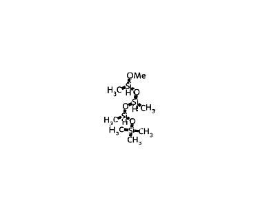 CO[SiH](C)O[SiH](C)O[SiH](C)O[Si](C)(C)C